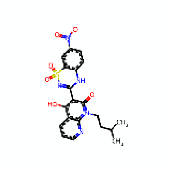 CC(C)CCn1c(=O)c(C2=NS(=O)(=O)c3cc([N+](=O)[O-])ccc3N2)c(O)c2cccnc21